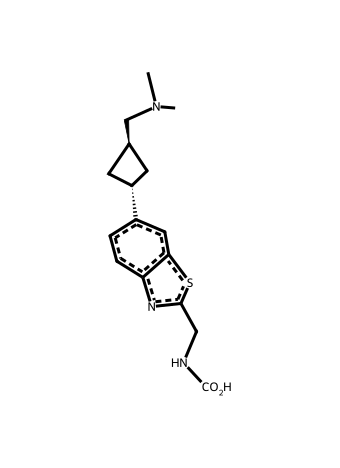 CN(C)C[C@H]1C[C@H](c2ccc3nc(CNC(=O)O)sc3c2)C1